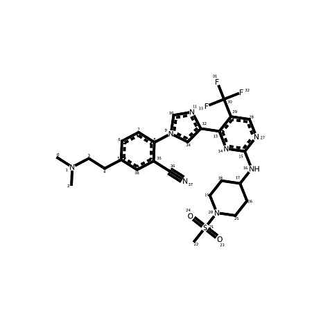 CN(C)CCc1ccc(-n2cnc(-c3nc(NC4CCN(S(C)(=O)=O)CC4)ncc3C(F)(F)F)c2)c(C#N)c1